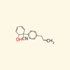 C=CCc1ccc(C2(C#N)C=CC=CC2O)cc1